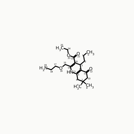 CCCC1C2=C(CC(C)(C)CC2=O)NC(COCCN)=C1C(=O)OCC